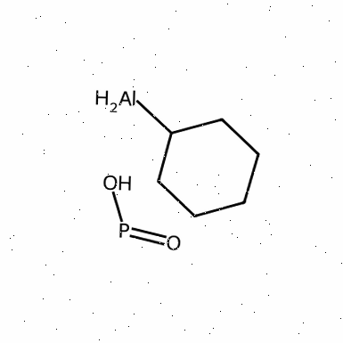 O=PO.[AlH2][CH]1CCCCC1